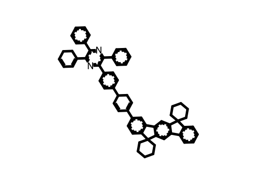 C1=CCCC(c2nc(-c3ccc(C4C=CC(c5ccc6c(c5)-c5cc7c(cc5C65CCCCC5)-c5ccccc5C75CCCCC5)=CC4)cc3)c(-c3ccccc3)nc2-c2ccccc2)=C1